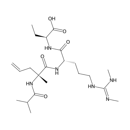 C=CC[C@@](C)(NC(=O)C(C)C)C(=O)N[C@@H](CCCN/C(=N/C)NC)C(=O)N[C@@H](CC)C(=O)O